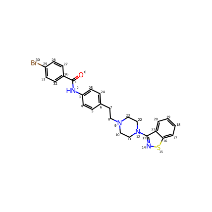 O=C(Nc1ccc(CCN2CCN(c3nsc4ccccc34)CC2)cc1)c1ccc(Br)cc1